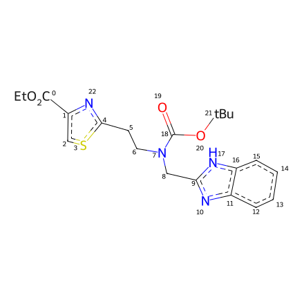 CCOC(=O)c1csc(CCN(Cc2nc3ccccc3[nH]2)C(=O)OC(C)(C)C)n1